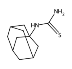 NC(=S)NC12CC3CC(CC(C3)C1)C2